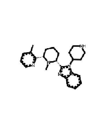 Cc1cccnc1[C@@H]1CCC[C@H](c2nc3ccccc3n2C2CCNCC2)N1C